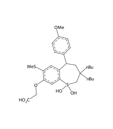 CCCCC1(CCCC)CC(c2ccc(OC)cc2)c2cc(SC)c(OCC(=O)O)cc2S(O)(O)C1